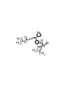 CC(C)CN/C(=N/C#N)Nc1cccc(/C(=C\CCCC(=O)OC(C)C)c2cccnc2)c1